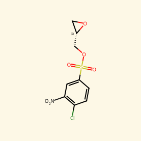 O=[N+]([O-])c1cc(S(=O)(=O)OC[C@@H]2CO2)ccc1Cl